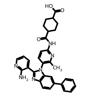 Cc1nc(NC(=O)C2CCC(C(=O)O)CC2)ccc1-n1c(-c2cccnc2N)nc2ccc(-c3ccccc3)cc21